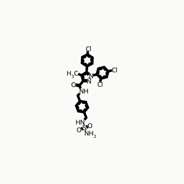 Cc1c(C(=O)NCc2ccc(CNS(N)(=O)=O)cc2)nn(-c2ccc(Cl)cc2Cl)c1-c1ccc(Cl)cc1